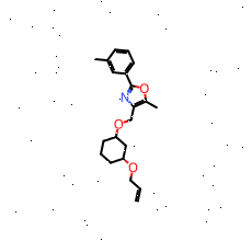 C=CCO[C@H]1CCCC(OCc2nc(-c3cccc(C)c3)oc2C)C1